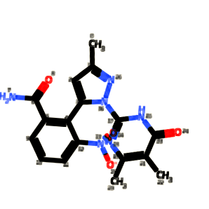 Cc1cc(-c2c(C(N)=O)cccc2[N+](=O)[O-])n(-c2nc(C)c(C)c(=O)[nH]2)n1